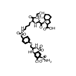 CCOC(=O)[C@H](CCCCNS(=O)(=O)Cc1ccc(SCC2Nc3cc(Cl)c(S(N)(=O)=O)cc3S(=O)(=O)N2)cc1)N[C@@H](C)C(=O)N1C(C(=O)O)CC2CCCCC21